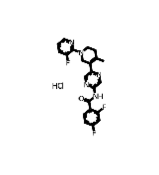 CC1=C(c2cnc(NC(=O)c3ccc(F)cc3F)cn2)CN(c2ncccc2F)CC1.Cl